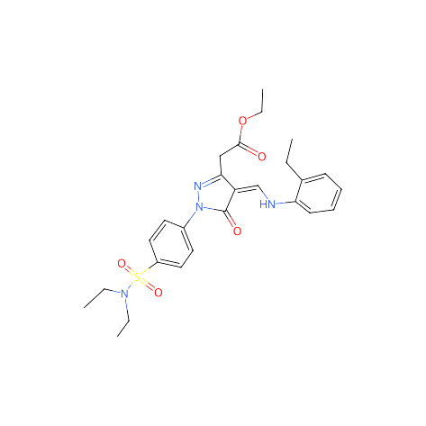 CCOC(=O)CC1=NN(c2ccc(S(=O)(=O)N(CC)CC)cc2)C(=O)C1=CNc1ccccc1CC